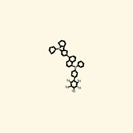 [2H]c1c([2H])c([2H])c(-c2ccc(N(c3ccccc3)c3cccc4c(-c5ccc6c(c5)c5ccccc5n6-c5ccccc5)cccc34)cc2)c([2H])c1[2H]